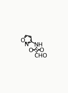 O=CS(=O)(=O)Nc1ccon1